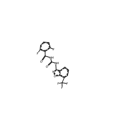 O=C(NC(=O)c1c(F)cccc1F)Nc1noc2c(C(F)(F)F)cccc12